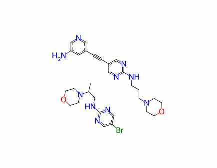 CC(CNc1ncc(Br)cn1)N1CCOCC1.Nc1cncc(C#Cc2cnc(NCCCN3CCOCC3)nc2)c1